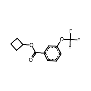 O=C(OC1CCC1)c1cccc(OC(F)(F)F)c1